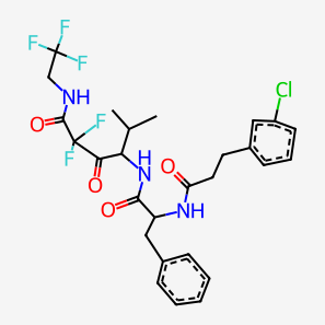 CC(C)C(NC(=O)C(Cc1ccccc1)NC(=O)CCc1cccc(Cl)c1)C(=O)C(F)(F)C(=O)NCC(F)(F)F